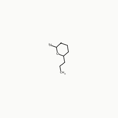 [2H]C1CCCC(CCC)O1